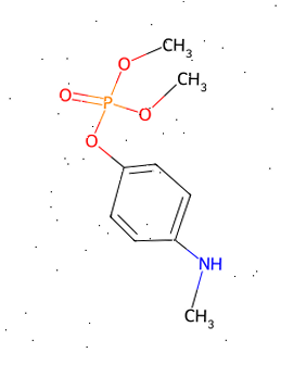 CNc1ccc(OP(=O)(OC)OC)cc1